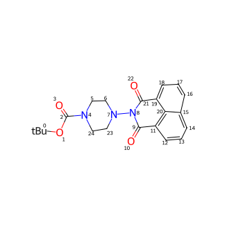 CC(C)(C)OC(=O)N1CCN(N2C(=O)c3cccc4cccc(c34)C2=O)CC1